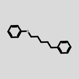 [c]1cccc(OCCCCCc2ccccc2)c1